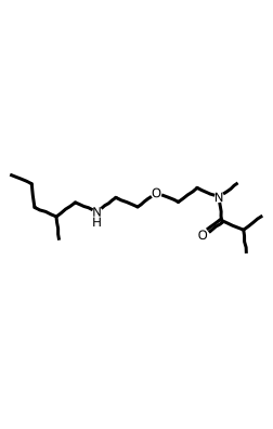 CCCC(C)CNCCOCCN(C)C(=O)C(C)C